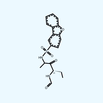 CC[C@H](NC=O)C(=O)C(C)NS(=O)(=O)c1ccc2oc3ccccc3c2c1